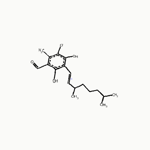 Cc1c(Cl)c(O)c(/C=C/C(C)CCCC(C)C)c(O)c1C=O